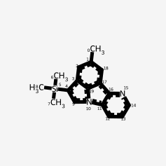 Cc1cc2c([Si](C)(C)C)cn3c4cccnc4c(c1)c23